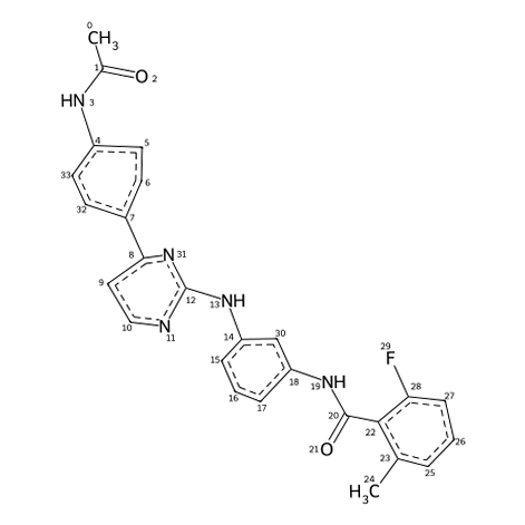 CC(=O)Nc1ccc(-c2ccnc(Nc3cccc(NC(=O)c4c(C)cccc4F)c3)n2)cc1